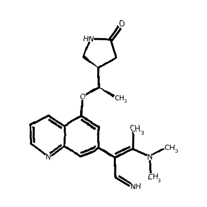 C/C(=C(/C=N)c1cc(O[C@H](C)[C@H]2CNC(=O)C2)c2cccnc2c1)N(C)C